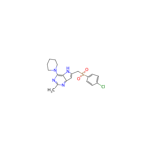 Cc1nc(N2CCCCC2)c2[nH]c(CS(=O)(=O)c3ccc(Cl)cc3)cc2n1